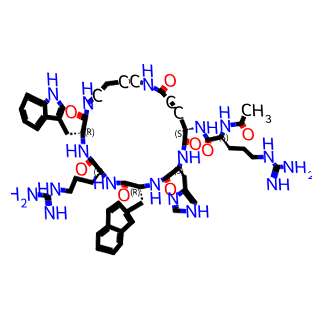 CC(=O)N[C@@H](CCCNC(=N)N)C(=O)N[C@H]1CCC(=O)NCCCCNC(=O)[C@@H](Cc2c[nH]c3ccccc23)NC(=O)[C@H](CCCNC(=N)N)NC(=O)[C@@H](Cc2ccc3ccccc3c2)NC(=O)[C@H](Cc2c[nH]cn2)NC1=O